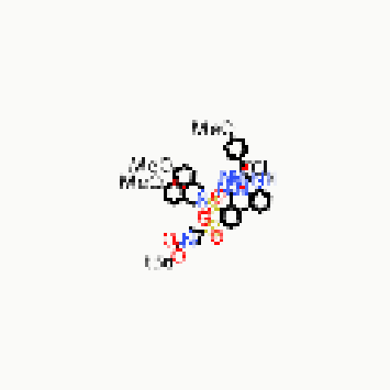 COc1ccc(CN(Cc2ccc(OC)cc2)S(=O)(=O)c2c(S(=O)(=O)C3CN(C(=O)OC(C)(C)C)C3)ccc(-c3cccc4[nH]c(C(Cl)(Cl)Cl)nc34)c2-c2nnn(Cc3ccc(OC)cc3)n2)cc1